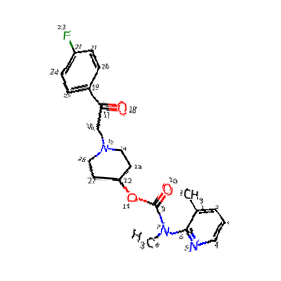 Cc1cccnc1N(C)C(=O)OC1CCN(CC(=O)c2ccc(F)cc2)CC1